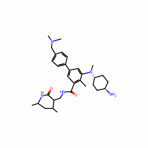 Cc1c(C(=O)NCC2C(=O)NC(C)CC2C)cc(-c2ccc(CN(C)C)cc2)cc1N(C)[C@H]1CC[C@H](N)CC1